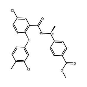 COC(=O)c1ccc([C@H](C)NC(=O)c2cc(Cl)cnc2Oc2ccc(C)c(Cl)c2)cc1